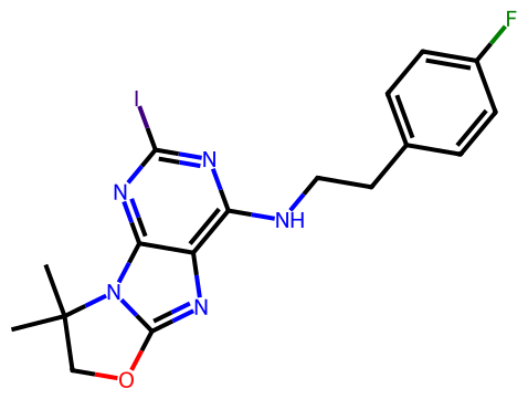 CC1(C)COc2nc3c(NCCc4ccc(F)cc4)nc(I)nc3n21